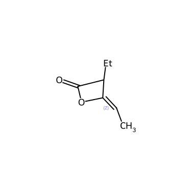 C/C=C1\OC(=O)C1CC